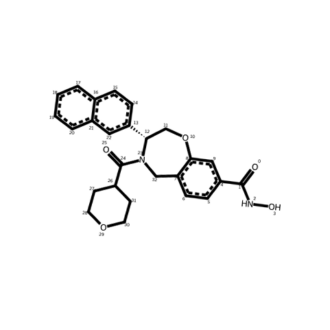 O=C(NO)c1ccc2c(c1)OC[C@@H](c1ccc3ccccc3c1)N(C(=O)C1CCOCC1)C2